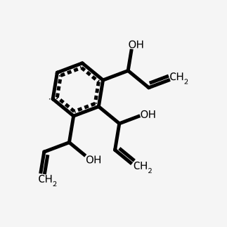 C=CC(O)c1[c]ccc(C(O)C=C)c1C(O)C=C